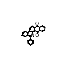 O=C1c2ccc3c4c(c(-c5ccccc5)nc3c2C(=O)C2C=CC=CC12)C1CCC4C1